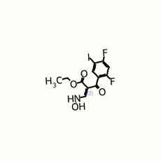 CCOC(=O)/C(=C\NO)C(=O)c1cc(I)c(F)cc1F